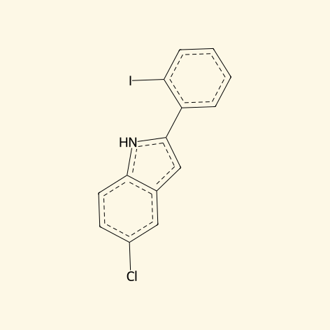 Clc1ccc2[nH]c(-c3ccccc3I)cc2c1